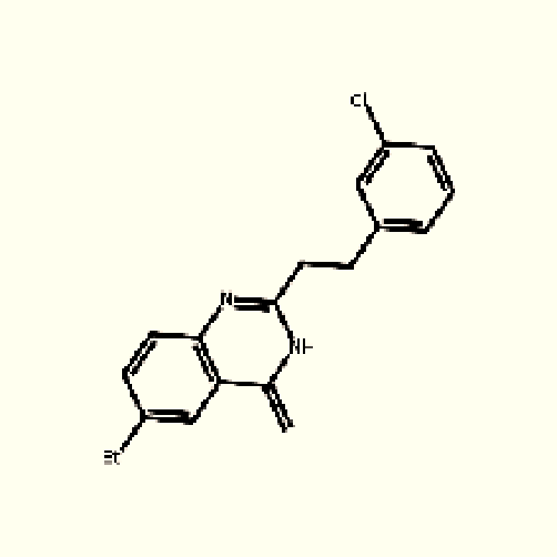 C=C1NC(CCc2cccc(Cl)c2)=Nc2ccc(CC)cc21